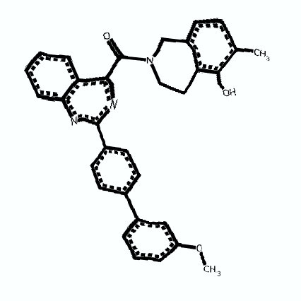 COc1cccc(-c2ccc(-c3nc(C(=O)N4CCc5c(ccc(C)c5O)C4)c4ccccc4n3)cc2)c1